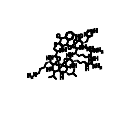 CC(C)C[C@H](NC(=O)[C@@H](NC(=O)[C@H](CCCCN)NC(=O)C1CSC2=C(N1)C(=O)c1ccccc1C2=O)C(C)C)C(=O)N[C@@H](CCCNC(=N)N)C(=O)N[C@@H](CCCNC(=N)N)C(=O)N[C@@H](Cc1c[nH]cn1)C(=O)O